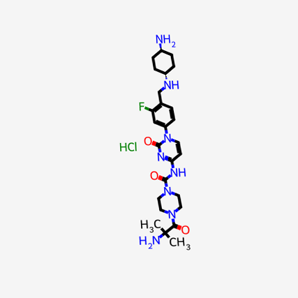 CC(C)(N)C(=O)N1CCN(C(=O)Nc2ccn(-c3ccc(CN[C@H]4CC[C@H](N)CC4)c(F)c3)c(=O)n2)CC1.Cl